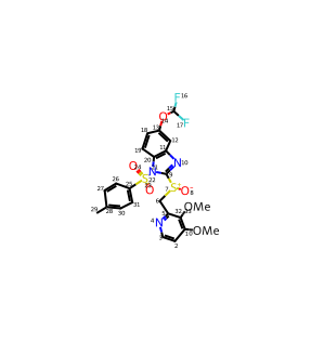 COc1ccnc(C[S+]([O-])c2nc3cc(OC(F)F)ccc3n2S(=O)(=O)c2ccc(C)cc2)c1OC